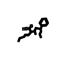 CCCC=CC(C(=O)O)C(C)CC(CCC)c1ccccc1